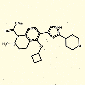 COC(=O)N1c2ccc(-c3c[nH]c(C4CCNCC4)n3)c(OC3CCC3)c2CC[C@@H]1C